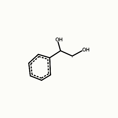 O[CH]C(O)c1ccccc1